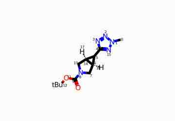 Cn1nnc(C2[C@H]3CN(C(=O)OC(C)(C)C)C[C@@H]23)n1